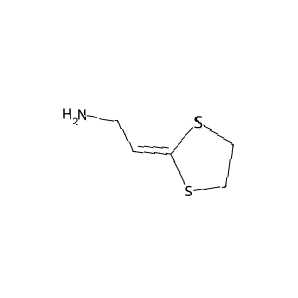 NCC=C1SCCS1